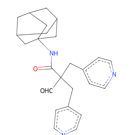 O=CC(Cc1ccncc1)(Cc1ccncc1)C(=O)NC12CC3CC(CC(C3)C1)C2